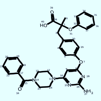 CC(Cc1ccc(Oc2cc(N3CCN(C(=O)c4ccccc4)CC3)nc(N)n2)cc1)(Oc1ccccc1)C(=O)O